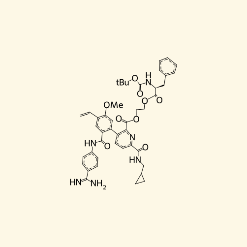 C=Cc1cc(C(=O)Nc2ccc(C(=N)N)cc2)c(-c2ccc(C(=O)NCC3CC3)nc2C(=O)OCCOC(=O)[C@H](Cc2ccccc2)NC(=O)OC(C)(C)C)cc1OC